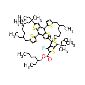 CCCCC(CC)COC(=O)c1sc2c(C(C)(CC)CC)sc(-c3cc4c(-c5ccc(CC(CC)CCCC)s5)c5sc(C(C)(CC)CC)cc5c(-c5ccc(CC(CC)CCCC)s5)c4s3)c2c1F